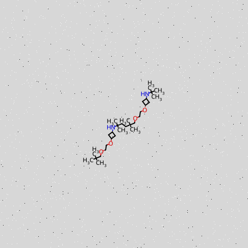 CC(C)(C)COCCO[C@H]1C[C@@H](NC(C)(C)CCC(C)(C)COCCO[C@H]2C[C@H](NC(C)(C)C)C2)C1